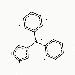 c1ccc(N(c2ccccc2)n2cnnc2)cc1